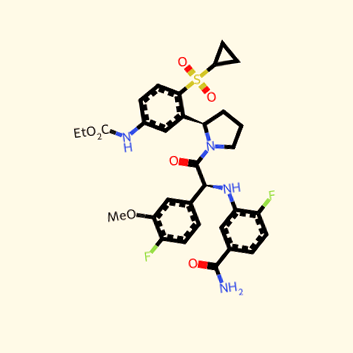 CCOC(=O)Nc1ccc(S(=O)(=O)C2CC2)c([C@H]2CCCN2C(=O)[C@@H](Nc2cc(C(N)=O)ccc2F)c2ccc(F)c(OC)c2)c1